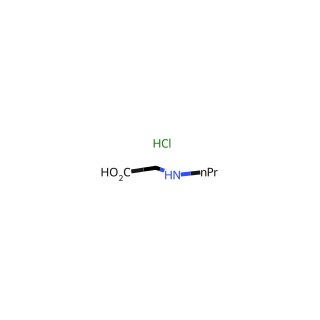 CCCNCC(=O)O.Cl